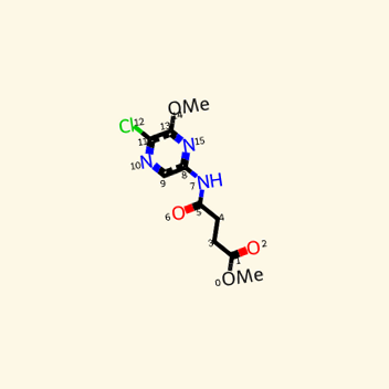 COC(=O)CCC(=O)Nc1cnc(Cl)c(OC)n1